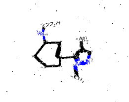 Cn1ncc([N+](=O)[O-])c1C1=CC(NC(=O)O)CCC1